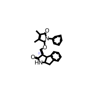 CC1=C(C)C(O/C=C2/C(=O)NC3Cc4ccccc4C23)N(c2ccccc2)C1=O